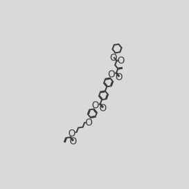 C=CC(=O)OCCCCOc1ccc(OC(=O)c2ccc(-c3ccc(OC(=O)C(=C)CC(=O)OC4CCCCC4)cc3)cc2)cc1